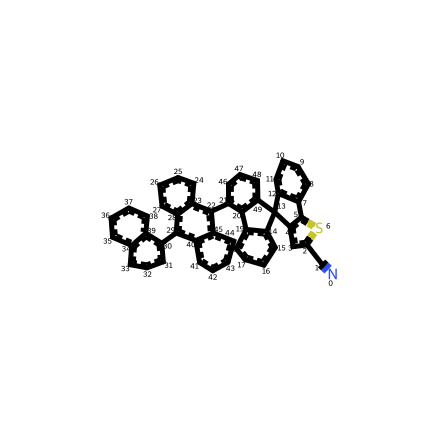 N#Cc1cc2c(s1)-c1ccccc1C21c2ccccc2-c2c(-c3c4ccccc4c(-c4cccc5ccccc45)c4ccccc34)cccc21